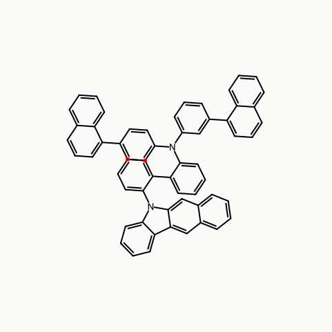 c1cc(-c2cccc3ccccc23)cc(N(c2ccc(-c3cccc4ccccc34)cc2)c2ccccc2-c2ccccc2-n2c3ccccc3c3cc4ccccc4cc32)c1